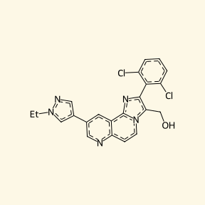 CCn1cc(-c2cnc3ccn4c(CO)c(-c5c(Cl)cccc5Cl)nc4c3c2)cn1